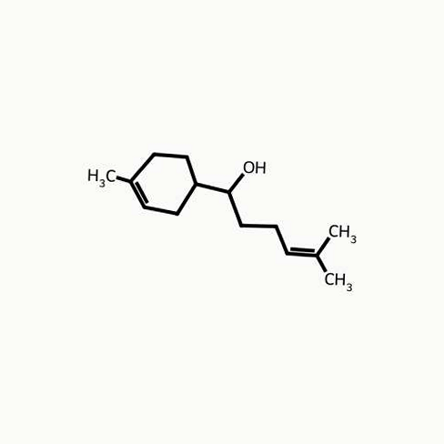 CC(C)=CCCC(O)C1CC=C(C)CC1